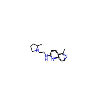 Cc1nccc2nc(NCCN3CCCC3C)ccc12